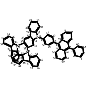 c1ccc(-c2c3ccccc3c(-c3ccc(-n4c5ccccc5c5cc(-n6c7ccccc7c7ccccc76)c(-n6c7ccccc7c7ccccc76)cc54)cc3)c3ccccc23)cc1